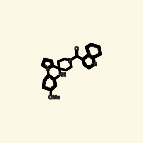 COc1ccc2c(c1)NC1(CCN(C(=O)c3ccnc4ccccc34)CC1)c1cccn1-2